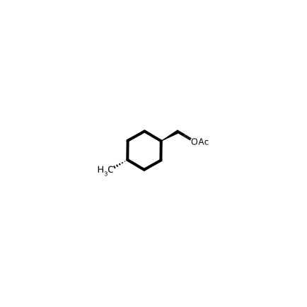 CC(=O)OC[C@H]1CC[C@H](C)CC1